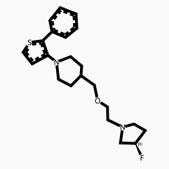 F[C@@H]1CCN(CCOCC2CCN(c3ccsc3-c3ccccc3)CC2)C1